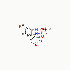 CC(C)(C)OC(=O)NC1(c2ccc(Br)cc2)CCOCC1